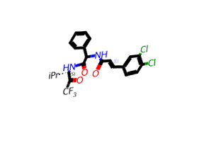 CC(C)[C@H](NC(=O)C(NC(=O)/C=C/c1ccc(Cl)c(Cl)c1)c1ccccc1)C(=O)C(F)(F)F